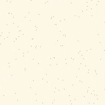 CC1(C)c2ccsc2-c2sc(Br)cc21